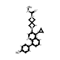 CC(C)(C)OC(=O)N1CC2(C1)CN(c1cnc3c(-c4ccc(C#N)cc4)cccc3c1C1CC1)C2